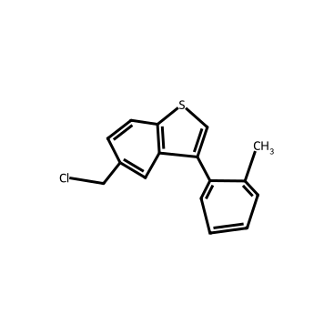 Cc1ccccc1-c1csc2ccc(CCl)cc12